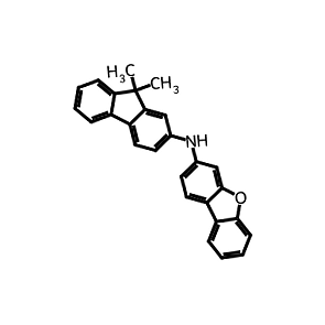 CC1(C)c2ccccc2-c2ccc(Nc3ccc4c(c3)oc3ccccc34)cc21